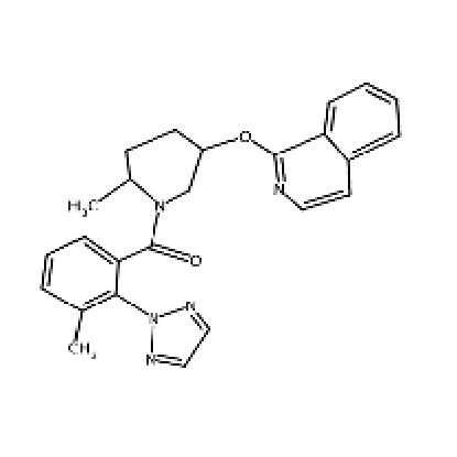 Cc1cccc(C(=O)N2CC(Oc3nccc4ccccc34)CCC2C)c1-n1nccn1